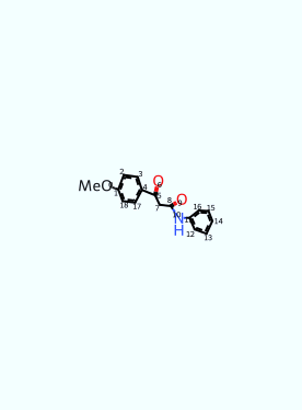 COc1ccc(C(=O)CC(=O)Nc2ccccc2)cc1